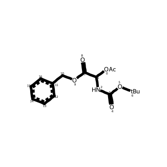 CC(=O)OC(NC(=O)OC(C)(C)C)C(=O)OCc1ccccc1